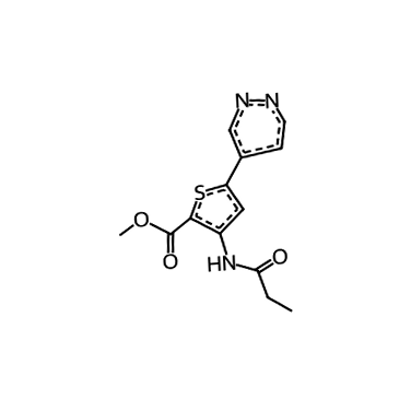 CCC(=O)Nc1cc(-c2ccnnc2)sc1C(=O)OC